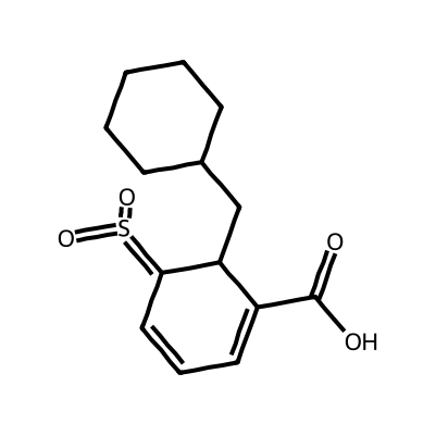 O=C(O)C1=CC=CC(=S(=O)=O)C1CC1CCCCC1